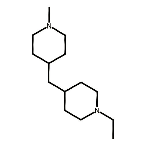 CCN1CCC(CC2CCN(C)CC2)CC1